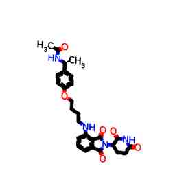 CC(=O)N[C@H](C)c1ccc(OCCCCNc2cccc3c2C(=O)N(C2CCC(=O)NC2=O)C3=O)cc1